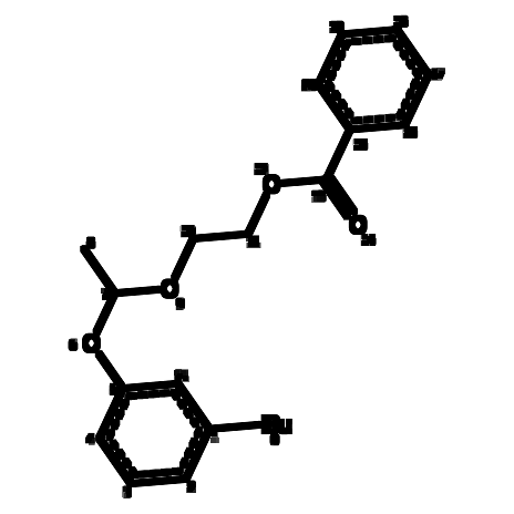 CCC(C)c1cccc(OC(C)OCCOC(=O)c2ccccc2)c1